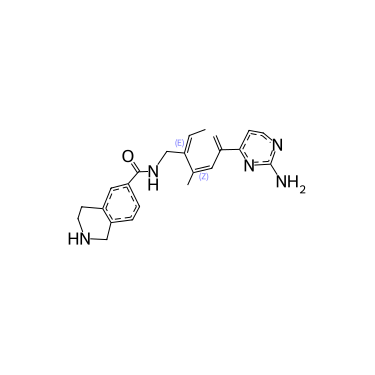 C=C(/C=C(C)\C(=C/C)CNC(=O)c1ccc2c(c1)CCNC2)c1ccnc(N)n1